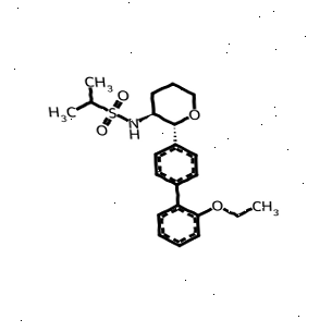 CCOc1ccccc1-c1ccc([C@H]2OCCC[C@@H]2NS(=O)(=O)C(C)C)cc1